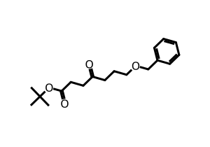 CC(C)(C)OC(=O)CCC(=O)CCCOCc1ccccc1